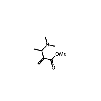 C=C(C(=O)OC)C(C)N(C)C